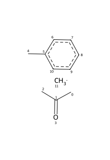 CC(C)=O.Cc1ccccc1.[CH3]